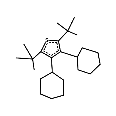 CC(C)(C)c1sc(C(C)(C)C)c(C2CCCCC2)c1C1CCCCC1